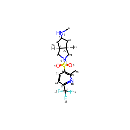 CNC1C[C@@H]2CN(S(=O)(=O)c3ccc(C(F)(F)F)nc3C)C[C@@H]2C1